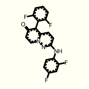 O=c1ccn2nc(Nc3ccc(F)cc3F)ccc2c1-c1c(F)cccc1F